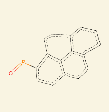 O=Pc1ccc2ccc3cccc4ccc1c2c34